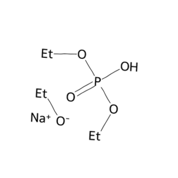 CCOP(=O)(O)OCC.CC[O-].[Na+]